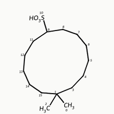 CC1(C)CCCCCCC(S(=O)(=O)O)CCCCC1